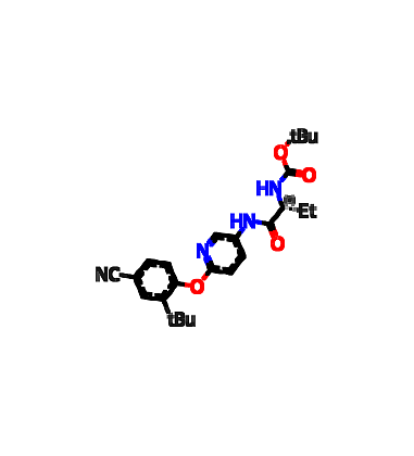 CC[C@@H](NC(=O)OC(C)(C)C)C(=O)Nc1ccc(Oc2ccc(C#N)cc2C(C)(C)C)nc1